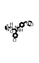 O=C(Nc1nccs1)c1nc(-c2ccc(CN3CCOCC3)cc2)[nH]c1-c1ccc(Cl)cc1